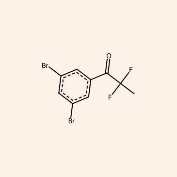 CC(F)(F)C(=O)c1cc(Br)cc(Br)c1